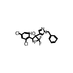 CC(c1ccc(Cl)cc1Cl)C(O)(c1cnn(Cc2ccccc2)c1)C(F)(F)F